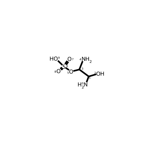 NC(O)C(N)OS(=O)(=O)O